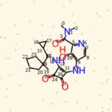 CN(C)C(=O)c1nccc(Nc2c(N[C@@H](C3CC3)C3(C)CCCC3)c(=O)c2=O)c1O